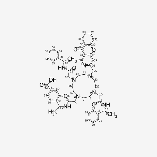 C[C@H](NC(=O)CN1CCN(CC(=O)N[C@@H](C)c2ccccc2)CCN(Cc2cc3oc4ccccc4c(=O)c3cn2)CCN(CC(=O)N[C@@H](C)c2ccccc2)CC1)c1ccc(C(=O)O)cc1